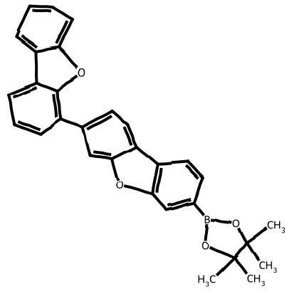 CC1(C)OB(c2ccc3c(c2)oc2cc(-c4cccc5c4oc4ccccc45)ccc23)OC1(C)C